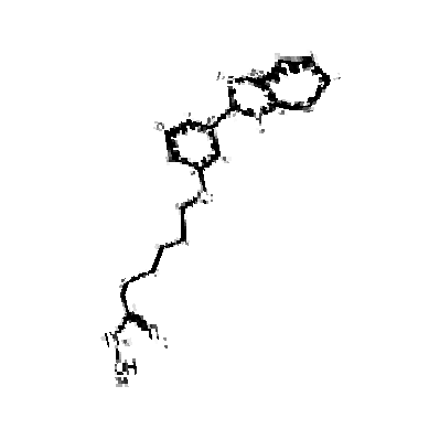 O=C(CCCCCOc1cccc(-c2nc3ccccc3s2)c1)NO